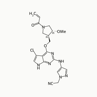 C=CC(=O)N1C[C@H](COc2nc(Nc3cnn(CC#N)c3)nc3[nH]cc(Cl)c23)[C@@H](OC)C1